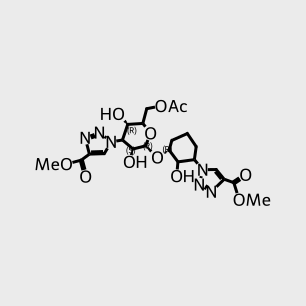 COC(=O)c1cn(C2CCC[C@@H](O[C@@H]3OC(COC(C)=O)[C@H](O)C(n4cc(C(=O)OC)nn4)[C@@H]3O)C2O)nn1